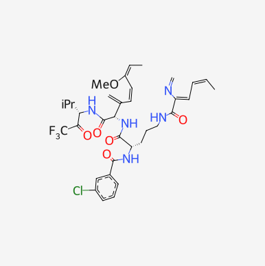 C=N/C(=C\C=C/C)C(=O)NCCC[C@H](NC(=O)c1cccc(Cl)c1)C(=O)N[C@@H](C(=C)/C=C\C(=C/C)OC)C(=O)N[C@H](C(=O)C(F)(F)F)C(C)C